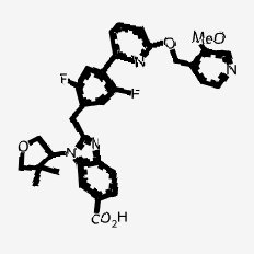 COc1cnccc1COc1cccc(-c2cc(F)c(Cc3nc4ccc(C(=O)O)cc4n3C3COCC3(C)C)cc2F)n1